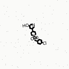 O=S(=O)(Cc1ccc(Cl)cc1)N1CC=C(c2cncc(O)c2)CC1